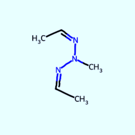 C/C=N\N(C)/N=C\C